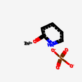 O=S(=O)([O-])[O-].O=c1cccc[nH]1.[Zn+2]